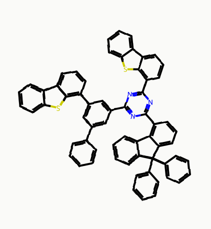 c1ccc(-c2cc(-c3nc(-c4cccc5c4-c4ccccc4C5(c4ccccc4)c4ccccc4)nc(-c4cccc5c4sc4ccccc45)n3)cc(-c3cccc4c3sc3ccccc34)c2)cc1